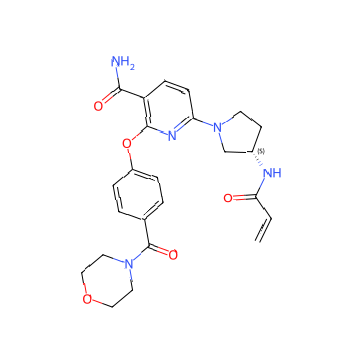 C=CC(=O)N[C@H]1CCN(c2ccc(C(N)=O)c(Oc3ccc(C(=O)N4CCOCC4)cc3)n2)C1